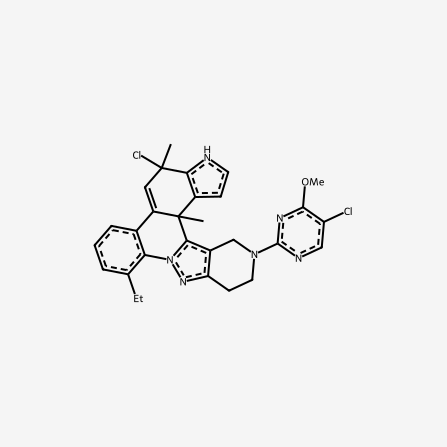 CCc1cccc2c1-n1nc3c(c1C1(C)C2=CC(C)(Cl)c2[nH]ccc21)CN(c1ncc(Cl)c(OC)n1)CC3